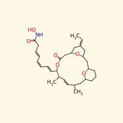 C/C=C1\CC2CC(=O)OC(/C=C/C=C\C=C\CC(=O)NO)C(C)/C=C/C(C)CC3CCCC(CC(C1)O2)O3